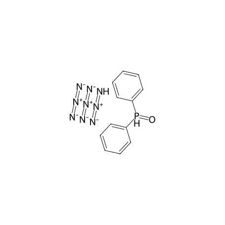 O=[PH](c1ccccc1)c1ccccc1.[N-]=[N+]=N.[N-]=[N+]=[N-].[N-]=[N+]=[N-]